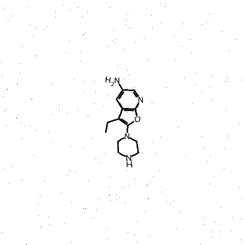 CCc1c(N2CCNCC2)oc2ncc(N)cc12